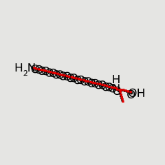 CCCCCCCCCC/C(=C\C(=O)NCCOCCOCCOCCOCCOCCOCCOCCOCCOCCOCCOCCOCCOCCOCCOCCOCCOCCOCCOCCOCCOCCOCCOCCN)CCCCCCCCCC(=O)O